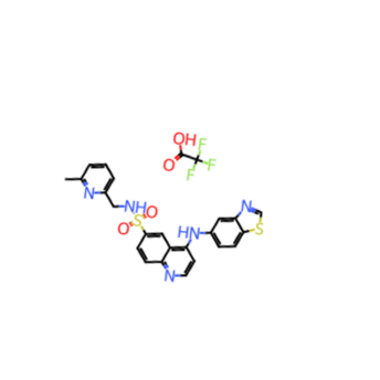 Cc1cccc(CNS(=O)(=O)c2ccc3nccc(Nc4ccc5scnc5c4)c3c2)n1.O=C(O)C(F)(F)F